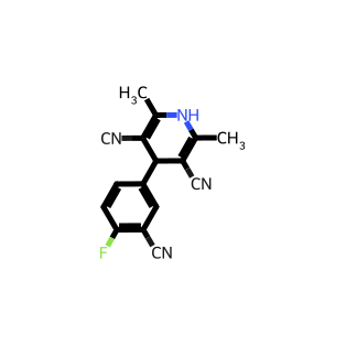 [C-]#[N+]C1=C(C)NC(C)=C(C#N)C1c1ccc(F)c(C#N)c1